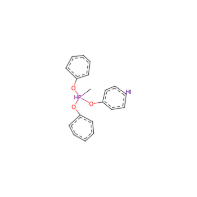 C[PH](Oc1ccccc1)(Oc1ccccc1)Oc1ccccc1.I